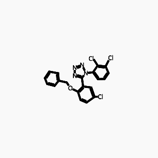 Clc1ccc(OCc2ccccc2)c(-c2nnnn2-c2cccc(Cl)c2Cl)c1